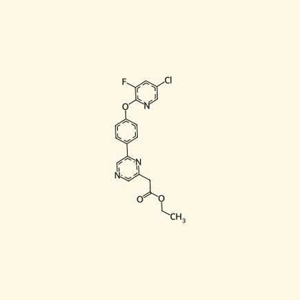 CCOC(=O)Cc1cncc(-c2ccc(Oc3ncc(Cl)cc3F)cc2)n1